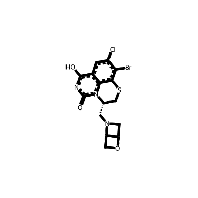 O=c1nc(O)c2cc(Cl)c(Br)c3c2n1[C@@H](CN1CC2OCC21)CS3